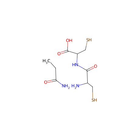 CCC(N)=O.NC(CS)C(=O)NC(CS)C(=O)O